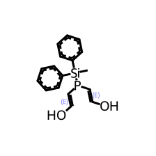 C[Si](c1ccccc1)(c1ccccc1)P(/C=C/O)/C=C/O